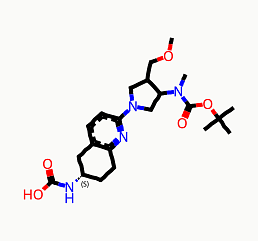 COCC1CN(c2ccc3c(n2)CC[C@H](NC(=O)O)C3)CC1N(C)C(=O)OC(C)(C)C